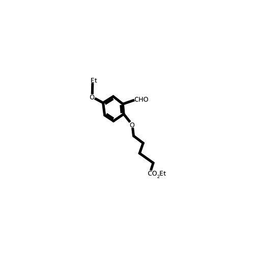 CCOC(=O)CCCCOc1ccc(OCC)cc1C=O